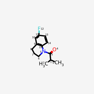 CC(C)C(=O)N1CCCc2cc(F)ccc21